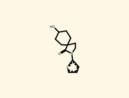 O=C1N(c2cccs2)CCC12CCC(O)CC2